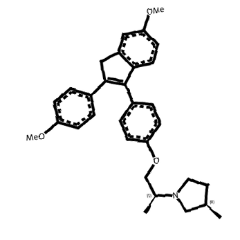 COc1ccc(C2=C(c3ccc(OC[C@H](C)N4CC[C@@H](C)C4)cc3)c3ccc(OC)cc3C2)cc1